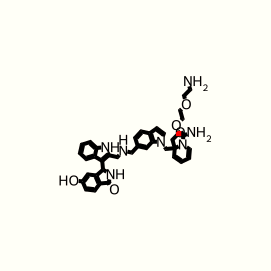 NCCOCCOCCC1(Cn2ccc3ccc(CNCc4[nH]c5ccccc5c4C4NC(=O)c5ccc(O)cc54)cc32)C=CC=CN1C(N)=O